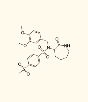 COc1ccc(CN(C2CCCCNC2=O)S(=O)(=O)c2ccc(S(C)(=O)=O)cc2)cc1OC